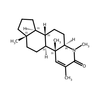 CC1=C[C@]2(C)[C@H]3CC[C@]4(C)CCC[C@H]4[C@@H]3CC[C@H]2N(C)C1=O